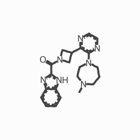 CN1CCCN(c2nccnc2C2CN(C(=O)c3nc4ccccc4[nH]3)C2)CC1